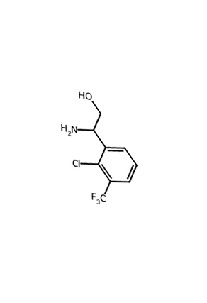 NC(CO)c1cccc(C(F)(F)F)c1Cl